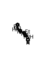 CCc1cc(-c2ccc(NS(=O)(=O)c3ccccc3F)nc2C)nc2cnc(N[C@H]3CC[C@H](N(C)C)CC3)nc12